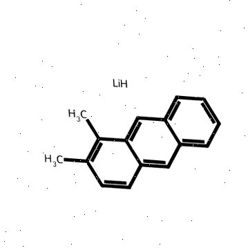 Cc1ccc2cc3ccccc3cc2c1C.[LiH]